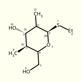 CCS[C@H]1OC(CO)[C@@H](C)[C@H](O)C1C